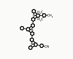 Cc1cc(C)c(-c2cc3c4ccccc4n4c5ccc(-c6ccc7c(c6)c6cc(-c8ccccc8)cc8c9cc(-c%10ccc%11c(c%10)c%10cc(-c%12ccc(C#N)cc%12)cc%12c%13ccccc%13n%11c%12%10)ccc9n7c86)cc5c(c2)c34)c(C)c1